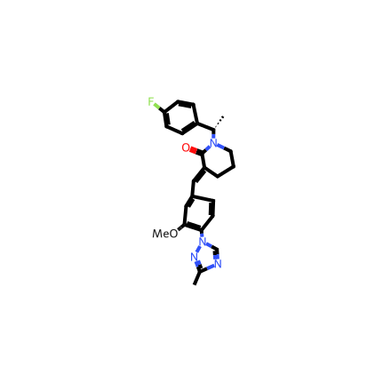 COc1cc(C=C2CCCN([C@@H](C)c3ccc(F)cc3)C2=O)ccc1-n1cnc(C)n1